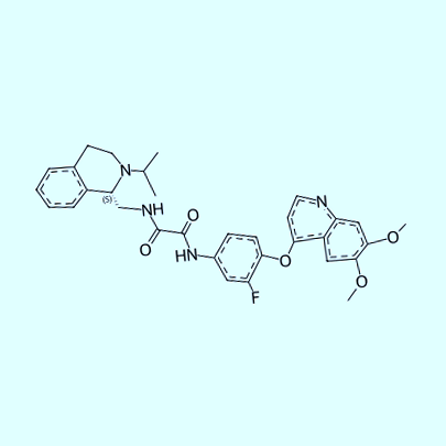 COc1cc2nccc(Oc3ccc(NC(=O)C(=O)NC[C@@H]4c5ccccc5CCN4C(C)C)cc3F)c2cc1OC